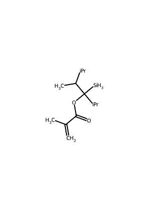 C=C(C)C(=O)OC([SiH3])(C(C)C)C(C)C(C)C